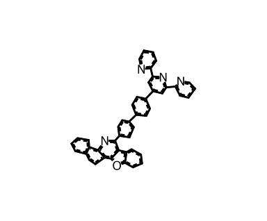 c1ccc(-c2cc(-c3ccc(-c4ccc(-c5nc6c7ccccc7ccc6c6oc7ccccc7c56)cc4)cc3)cc(-c3ccccn3)n2)nc1